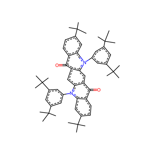 CC(C)(C)c1cc(-n2c3cc(C(C)(C)C)ccc3c(=O)c3cc4c(cc32)c(=O)c2ccc(C(C)(C)C)cc2n4-c2cc(C(C)(C)C)cc(C(C)(C)C)c2)cc(C(C)(C)C)c1